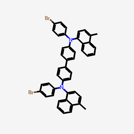 Cc1ccc(N(c2ccc(Br)cc2)c2ccc(-c3ccc(N(c4ccc(Br)cc4)c4ccc(C)c5ccccc45)cc3)cc2)c2ccccc12